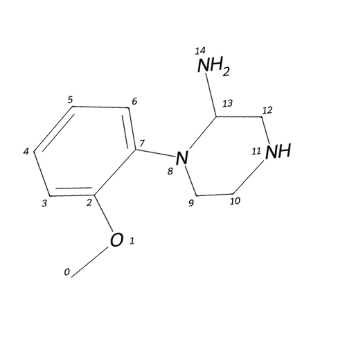 COc1ccccc1N1CCNCC1N